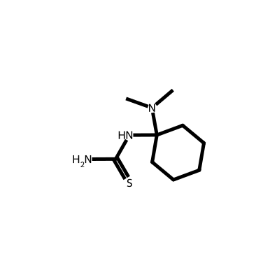 CN(C)C1(NC(N)=S)CCCCC1